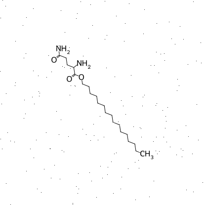 CCCCCCCCCCCCCCCCOC(=O)C(N)CCC(N)=O